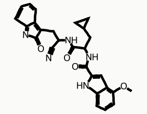 COc1cccc2[nH]c(C(=O)NC(CC3CC3)C(=O)NC(C#N)CC3=c4ccccc4=NC3=O)cc12